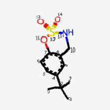 CC(C)(C)c1ccc2c(c1)CNS(=O)(=O)O2